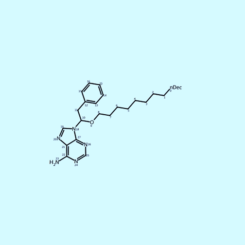 CCCCCCCCCCCCCCCCCCOC(Cc1cc[c]cc1)n1cnc2c(N)ncnc21